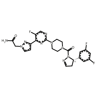 NC(=O)Cn1ccc(-c2nc(N3CCN(C(=O)N4N=CC[C@H]4c4cc(F)cc(F)c4)CC3)ncc2F)n1